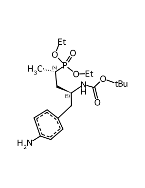 CCOP(=O)(OCC)[C@@H](C)C[C@H](Cc1ccc(N)cc1)NC(=O)OC(C)(C)C